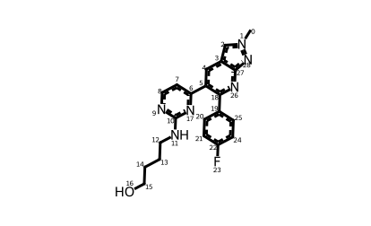 Cn1cc2cc(-c3ccnc(NCCCCO)n3)c(-c3ccc(F)cc3)nc2n1